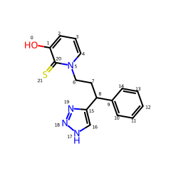 Oc1cccn(CCC(c2ccccc2)c2c[nH]nn2)c1=S